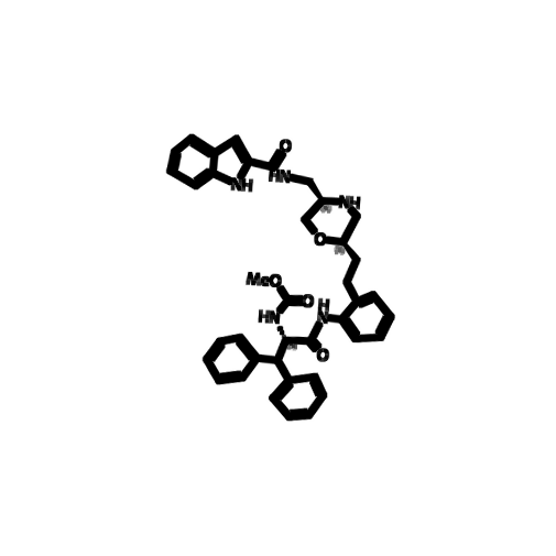 COC(=O)N[C@H](C(=O)Nc1ccccc1CC[C@@H]1CN[C@H](CNC(=O)c2cc3ccccc3[nH]2)CO1)C(c1ccccc1)c1ccccc1